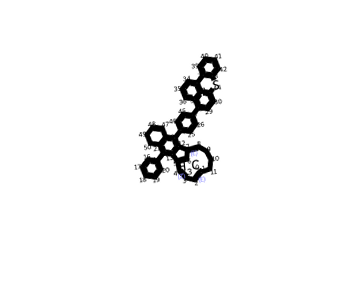 C/C1=C\C=C/C2=CC(=C\CCC1)/c1c2c(-c2ccccc2)c2c(c1-c1ccc(-c3ccc4c5c(cccc35)-c3ccccc3S4)cc1)C=CCC2